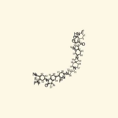 C=C1CCC(N2C(=O)c3c(n(C)c4cc(N5CC6(CCN(CC7CN(c8ccc(-c9ccc%10c(c9)C(C)(C)C(=O)N%10c9ccc(C#N)c(C(F)(F)F)c9)c(F)n8)C7)CC6)C5)ccc34)C2=O)C(=O)N1